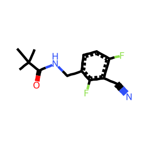 CC(C)(C)C(=O)NCc1ccc(F)c(C#N)c1F